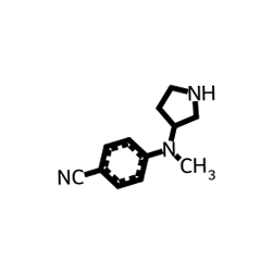 CN(c1ccc(C#N)cc1)C1CCNC1